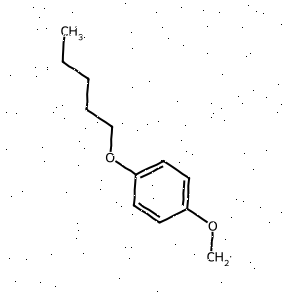 [CH2]Oc1ccc(OCCCCC)cc1